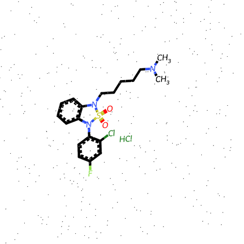 CN(C)CCCCCN1c2ccccc2N(c2ccc(F)cc2Cl)S1(=O)=O.Cl